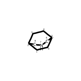 C1CC2CC[C]1CNC2